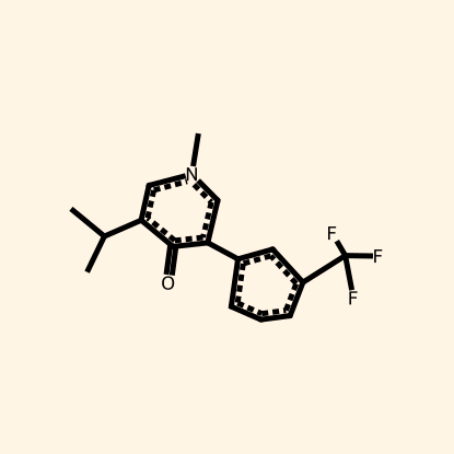 CC(C)c1cn(C)cc(-c2cccc(C(F)(F)F)c2)c1=O